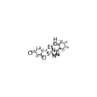 CCn1c(SCc2ccc(Cl)cc2Cl)nnc1-c1ccccc1O